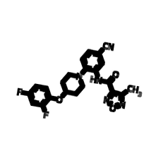 Cc1nonc1C(=O)Nc1cc(C#N)ccc1N1CCC(Oc2ccc(F)cc2F)CC1